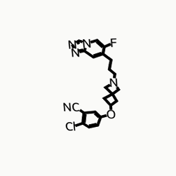 N#Cc1cc(OC2CC3(C2)CN(CCCc2cc4nncn4cc2F)C3)ccc1Cl